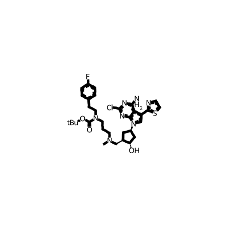 CN(CCCN(CCc1ccc(F)cc1)C(=O)OC(C)(C)C)C[C@H]1C[C@@H](n2cc(-c3nccs3)c3c(N)nc(Cl)nc32)C[C@@H]1O